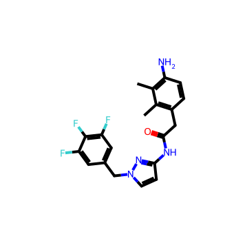 Cc1c(N)ccc(CC(=O)Nc2ccn(Cc3cc(F)c(F)c(F)c3)n2)c1C